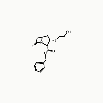 O=C(OCc1ccccc1)[C@H]1[C@@H](SCCO)CC2CC(=O)N21